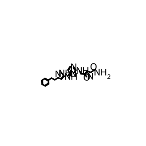 NC(=O)c1cc(CNc2nccc(Nc3cc(CCc4ccccc4)n[nH]3)n2)on1